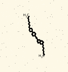 CCCCCCCCCC1CCC(c2ccc(C#Cc3ccc4cc(CCCCCCCC)ccc4c3)cc2)CC1